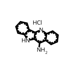 Cl.Nc1c2ccccc2nc2c1[nH]c1ccccc12